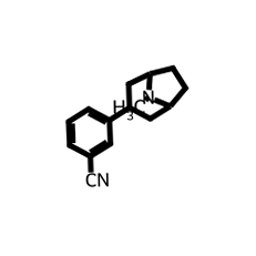 CN1C2CCC1CC(c1cccc(C#N)c1)C2